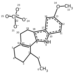 CCC1CCC[N+]2=C1c1[nH]c3ccc(OC)cc3c1CC2.[O-][Cl+3]([O-])([O-])[O-]